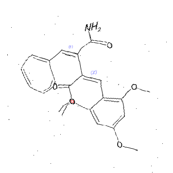 COC(=O)C(=C\c1c(OC)cc(OC)cc1OC)/C(=C\c1ccccc1)C(N)=O